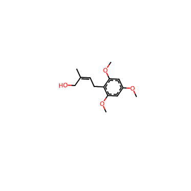 COc1cc(OC)c(CC=C(C)CO)c(OC)c1